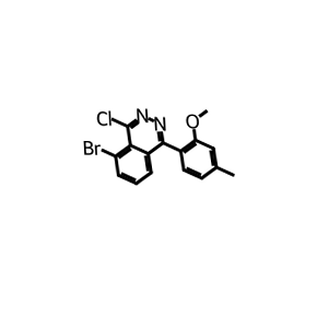 COc1cc(C)ccc1-c1nnc(Cl)c2c(Br)cccc12